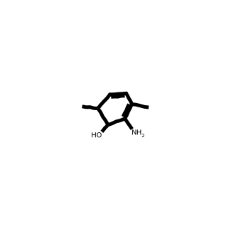 C[C]1C=CC(C)=C(N)C1O